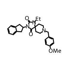 CCN1C(=O)N(C2Cc3ccccc3C2)C(=O)C12CCN(Cc1ccc(OC)cc1)CC2